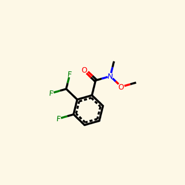 CON(C)C(=O)c1cccc(F)c1C(F)F